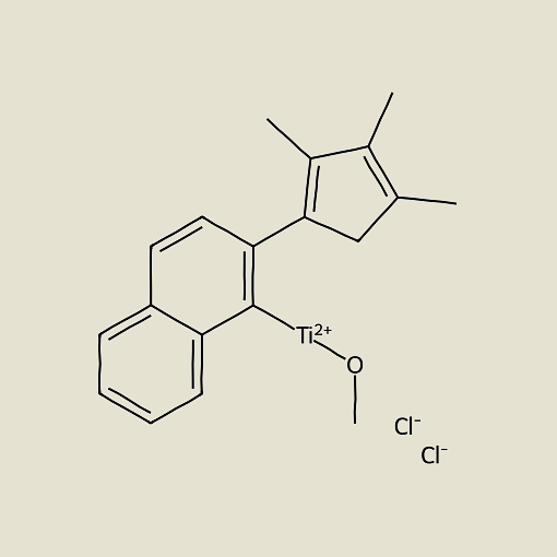 C[O][Ti+2][c]1c(C2=C(C)C(C)=C(C)C2)ccc2ccccc12.[Cl-].[Cl-]